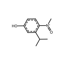 CC(C)c1cc(O)ccc1[N+](C)=O